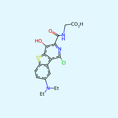 CCN(CC)c1ccc2sc3c(O)c(C(=O)NCC(=O)O)nc(Cl)c3c2c1